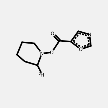 [2H]C1CCCCN1OC(=O)c1cnco1